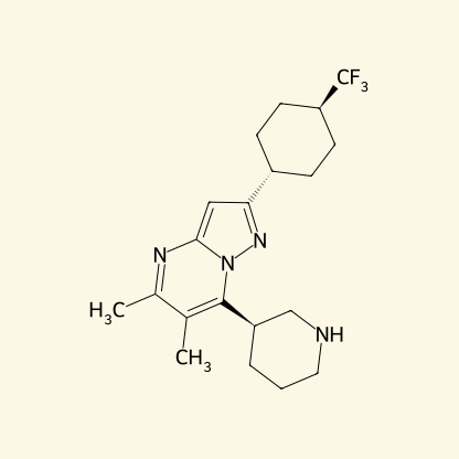 Cc1nc2cc([C@H]3CC[C@H](C(F)(F)F)CC3)nn2c([C@@H]2CCCNC2)c1C